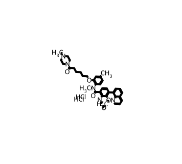 COc1c(-c2cccc3cccnc23)ccc(C(=O)N(C)c2ccc(C)cc2OCCCCCC(=O)N2CCN(C)CC2)c1N=C=O.Cl.Cl